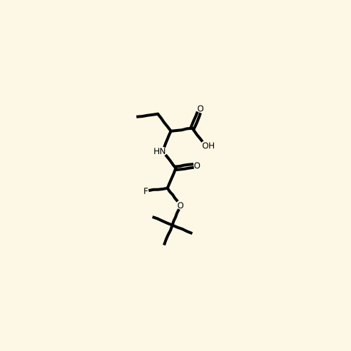 CCC(NC(=O)C(F)OC(C)(C)C)C(=O)O